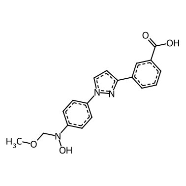 COCN(O)c1ccc(-n2ccc(-c3cccc(C(=O)O)c3)n2)cc1